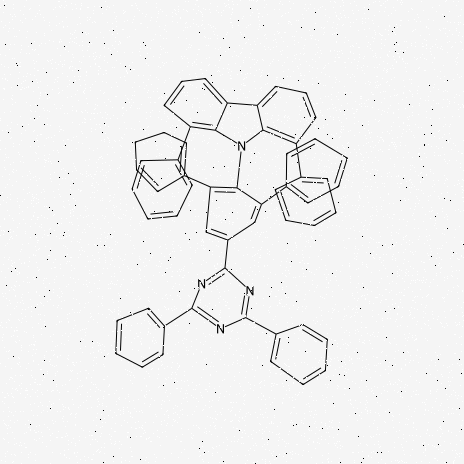 C1=CC(c2cc(-c3nc(-c4ccccc4)nc(-c4ccccc4)n3)cc(-c3ccccc3)c2-n2c3c(-c4ccccc4)cccc3c3cccc(-c4ccccc4)c32)=CCC1